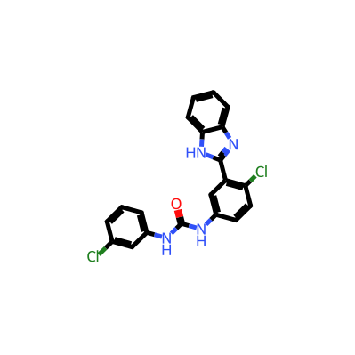 O=C(Nc1cccc(Cl)c1)Nc1ccc(Cl)c(-c2nc3ccccc3[nH]2)c1